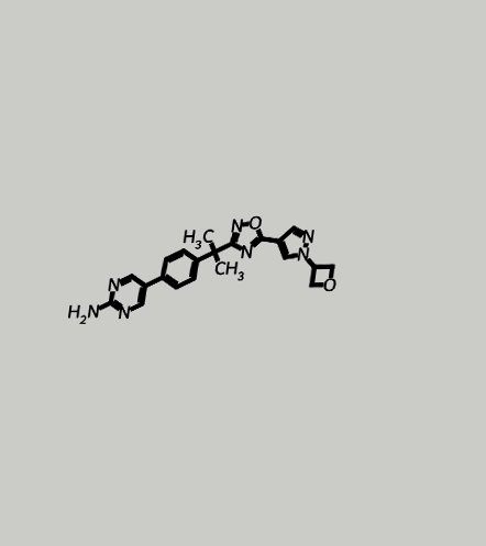 CC(C)(c1ccc(-c2cnc(N)nc2)cc1)c1noc(-c2cnn(C3COC3)c2)n1